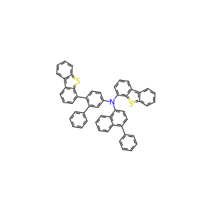 c1ccc(-c2cc(N(c3ccc(-c4ccccc4)c4ccccc34)c3cccc4c3sc3ccccc34)ccc2-c2cccc3c2sc2ccccc23)cc1